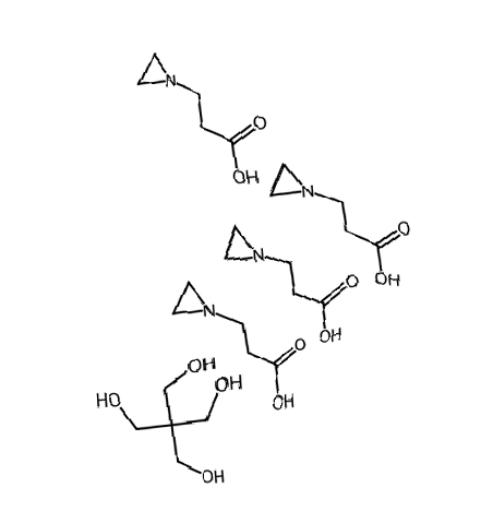 O=C(O)CCN1CC1.O=C(O)CCN1CC1.O=C(O)CCN1CC1.O=C(O)CCN1CC1.OCC(CO)(CO)CO